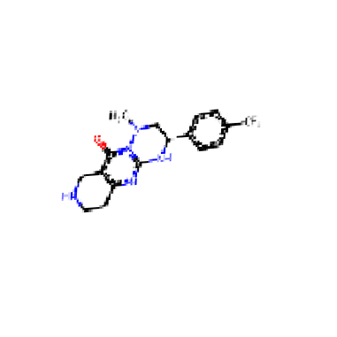 CN1C[C@@H](c2ccc(C(F)(F)F)cc2)Nc2nc3c(c(=O)n21)CNCC3